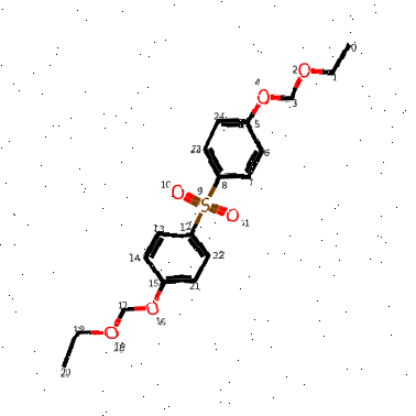 CCOCOc1ccc(S(=O)(=O)c2ccc(OCOCC)cc2)cc1